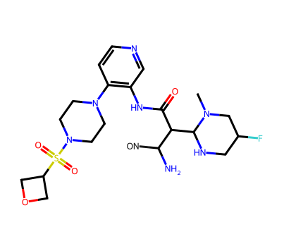 CN1CC(F)CNC1C(C(=O)Nc1cnccc1N1CCN(S(=O)(=O)C2COC2)CC1)C(N)N=O